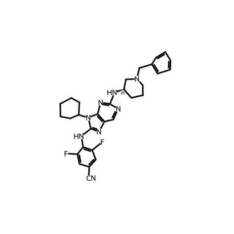 N#Cc1cc(F)c(Nc2nc3cnc(N[C@@H]4CCCN(Cc5ccccc5)C4)nc3n2C2CCCCC2)c(F)c1